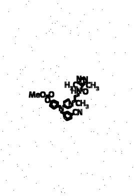 COC(=O)Oc1ccc(N(Cc2cccc(C#N)c2)C2CCN(C(C)CCNC(=O)c3c(C)ncnc3C)CC2)cc1